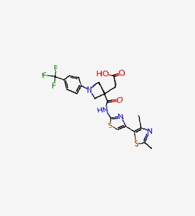 Cc1nc(C)c(-c2csc(NC(=O)C3(CC(=O)O)CN(c4ccc(C(F)(F)F)cc4)C3)n2)s1